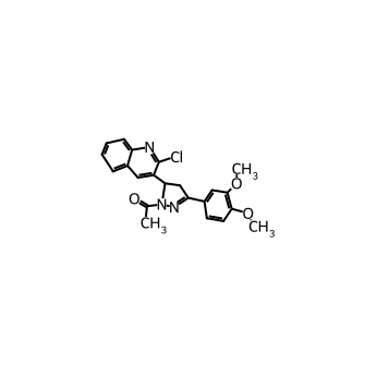 COc1ccc(C2=NN(C(C)=O)C(c3cc4ccccc4nc3Cl)C2)cc1OC